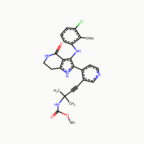 COc1c(Cl)cccc1Nc1c(-c2ccncc2C#CC(C)(C)NC(=O)OC(C)(C)C)[nH]c2c1C(=O)NCC2